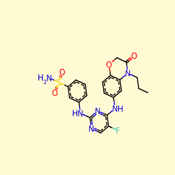 CCCN1C(=O)COc2ccc(Nc3nc(Nc4cccc(S(N)(=O)=O)c4)ncc3F)cc21